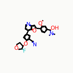 COc1cc(C(O)N(C)C)ccc1-c1cc2nccc(-c3ccc(OC4CCOC[C@@H]4F)c(C#N)c3)c2o1